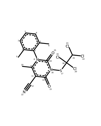 Cc1cccc(C)c1-n1c(C)c(C#N)c(=O)n(SC(Cl)(Cl)C(Cl)Cl)c1=O